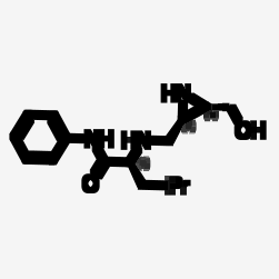 CC(C)C[C@H](NC[C@H]1N[C@@H]1CO)C(=O)Nc1ccccc1